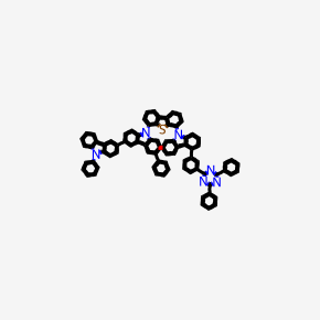 c1ccc(-c2ccc3c(c2)c2cc(-c4ccc5c(c4)c4ccccc4n5-c4ccccc4)ccc2n3-c2cccc3c2sc2c(-n4c5ccccc5c5c(-c6cccc(-c7nc(-c8ccccc8)nc(-c8ccccc8)n7)c6)cccc54)cccc23)cc1